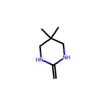 C=C1NCC(C)(C)CN1